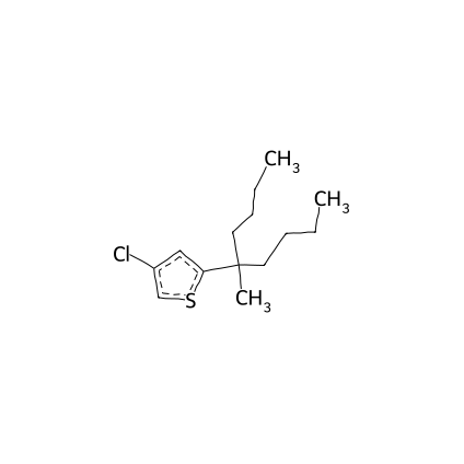 CCCCC(C)(CCCC)c1cc(Cl)cs1